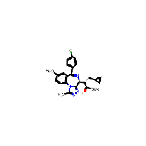 COC(=O)[C@@H](CC1CC1)[C@@H]1N=C(c2ccc(Cl)cc2)c2cc(OC)ccc2-n2c(C)nnc21